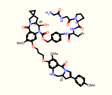 COc1ccc(C2=CN3C(=O)c4cc(OC)c(OCCCOc5cc6c(cc5OC)C(=O)N5CC7(CC7)C[C@H]5C(O)N6C(=O)OCc5ccc(NC(=O)C(CC(C)C)NC(=O)[C@@H]6CCCN6C(=O)CNC(=O)CN)cc5)cc4NC[C@@H]3C2)cc1